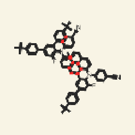 CC(C)(C)c1ccc(-c2cc(F)c(N(c3ccc(C#N)cc3)c3ccc4ccc5c(N(c6ccc(C#N)cc6)c6c(F)cc(-c7ccc(C(C)(C)C)cc7)cc6-c6ccc(C(C)(C)C)cc6)ccc6ccc3c4c65)c(-c3ccc(C(C)(C)C)cc3)c2)cc1